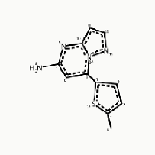 Cc1ccc(-c2cc(N)nc3ccnn23)s1